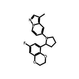 Cc1cnn2ccc(N3CCCC3c3cc(F)cc4c3OCCO4)cc12